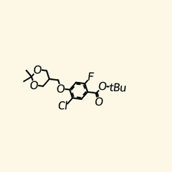 CC(C)(C)OC(=O)c1cc(Cl)c(OCC2COC(C)(C)OC2)cc1F